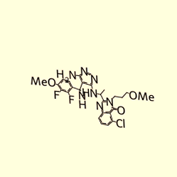 COCCCn1c(C(C)Nc2ncnc(N)c2C(=N)c2ccc(OC)c(F)c2F)nc2cccc(Cl)c2c1=O